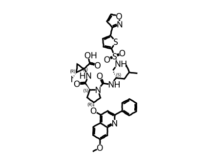 COc1ccc2c(O[C@@H]3C[C@@H](C(=O)N[C@]4(C(=O)O)C[C@H]4I)N(C(=O)N[C@H](CNS(=O)(=O)c4ccc(-c5ccon5)s4)CC(C)C)C3)cc(-c3ccccc3)nc2c1